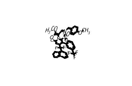 COC(=O)C1CN(Cc2ccc(OC)cc2)S(=O)(=O)c2c(-c3cccc(C(F)(F)F)c3)c(C(F)(F)c3cccc4ccccc34)cc(=O)n21